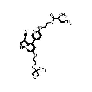 C=CC(C)C(=O)NCCNc1ccc(-c2cc(OCCOC3(C)COC3)cn3ncc(C#N)c23)cn1